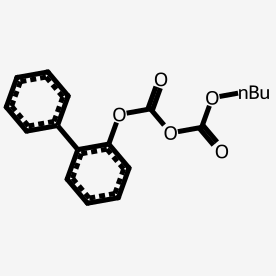 CCCCOC(=O)OC(=O)Oc1ccccc1-c1ccccc1